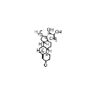 C[C@@H]1C[C@H]2[C@@H]3CCC4=CC(=O)CC[C@]4(C)[C@H]3CC[C@]2(C)[C@H]1[C@@H](O)C(=O)O